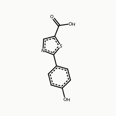 O=C(O)c1cnc(-c2ccc(O)cc2)s1